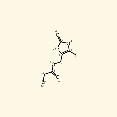 Cc1oc(=O)oc1COC(=O)CBr